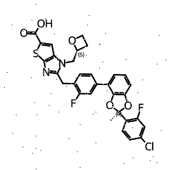 C[C@@]1(c2ccc(Cl)cc2F)Oc2cccc(-c3ccc(Cc4nc5sc(C(=O)O)cc5n4C[C@@H]4CCO4)c(F)c3)c2O1